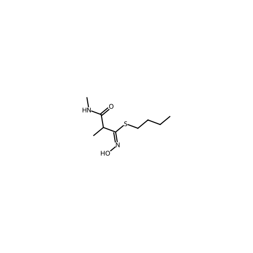 CCCCSC(=NO)C(C)C(=O)NC